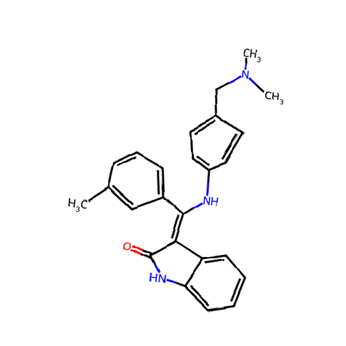 Cc1cccc(C(Nc2ccc(CN(C)C)cc2)=C2C(=O)Nc3ccccc32)c1